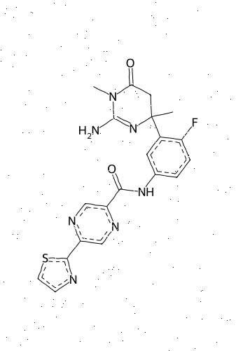 CN1C(=O)CC(C)(c2cc(NC(=O)c3cnc(-c4nccs4)cn3)ccc2F)N=C1N